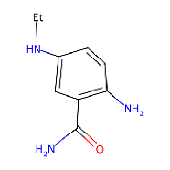 CCNc1ccc(N)c(C(N)=O)c1